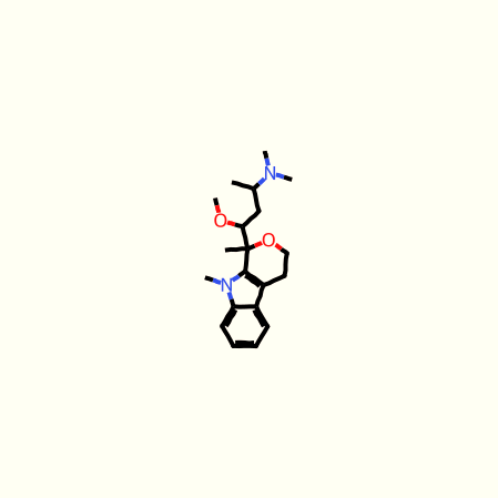 COC(CC(C)N(C)C)C1(C)OCCc2c1n(C)c1ccccc21